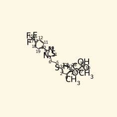 Cc1cc(SCCc2nc(-c3ccc(C(F)(F)F)cc3)ns2)ccc1OC(C)(C)C(=O)O